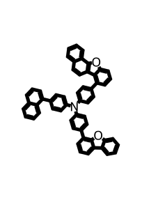 c1ccc2c(-c3ccc(N(c4ccc(-c5cccc6c5oc5ccccc56)cc4)c4ccc(-c5cccc6oc7c8ccccc8ccc7c56)cc4)cc3)cccc2c1